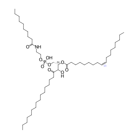 CCCCCCCC/C=C\CCCCCCCC(=O)O[C@@H](COP(=O)(O)OCCNC(=O)CCCCCCCCC)C(O)C(=O)CCCCCCCCCCCCCCC